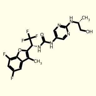 Cc1c([C@@H](NC(=O)Nc2cnc(N[C@H](C)CO)nc2)C(F)(F)F)oc2c(F)cc(F)cc12